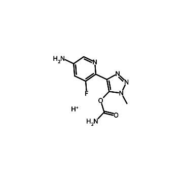 Cn1nnc(-c2ncc(N)cc2F)c1OC(N)=O.[H+]